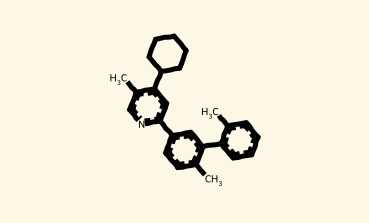 Cc1ccccc1-c1cc(-c2cc(C3CCCCC3)c(C)cn2)ccc1C